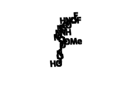 COc1cc2c(Nc3ncc(CC(=O)Nc4ccc(F)c(F)c4)s3)ncnc2cc1OCCCN1CCC(CO)CC1